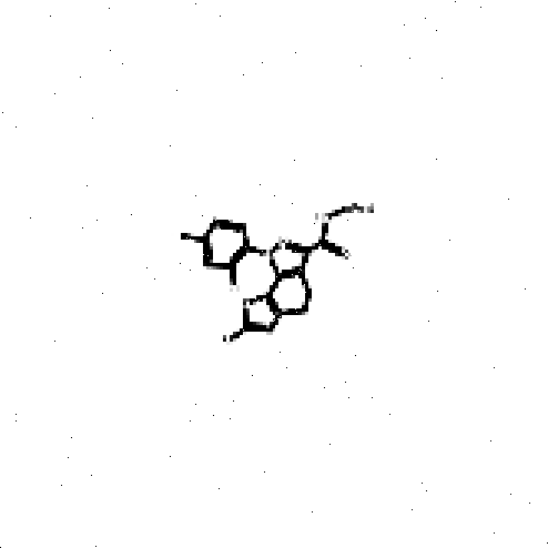 CCCCCNC(=O)c1nn(-c2ccc(Cl)cc2Cl)c2c1CCc1cc(Cl)sc1-2